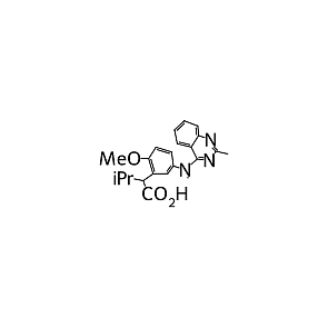 COc1ccc(N(C)c2nc(C)nc3ccccc23)cc1C(C(=O)O)C(C)C